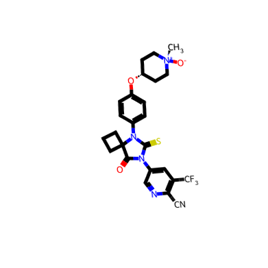 C[N@+]1([O-])CC[C@H](Oc2ccc(N3C(=S)N(c4cnc(C#N)c(C(F)(F)F)c4)C(=O)C34CCC4)cc2)CC1